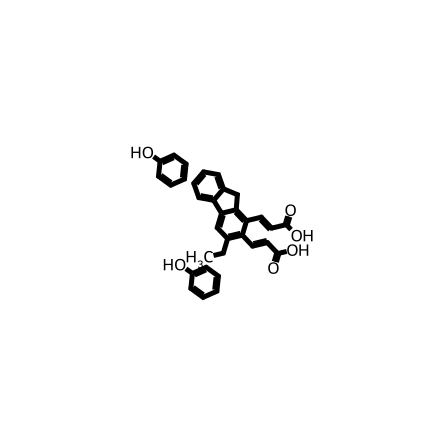 CCc1cc2c(c(C=CC(=O)O)c1C=CC(=O)O)Cc1ccccc1-2.Oc1ccccc1.Oc1ccccc1